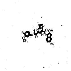 CC(=O)c1ccc2c(c1)C[C@H](O)[C@@H]2NC(=O)c1cc(C(=O)NCc2ccc(F)c(OC(F)(F)F)c2)nc2c(F)cnn12